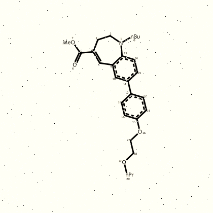 CCCCN1CCC(C(=O)OC)=Cc2cc(-c3ccc(OCCOCCC)cc3)ccc21